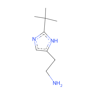 CC(C)(C)c1ncc(CCN)[nH]1